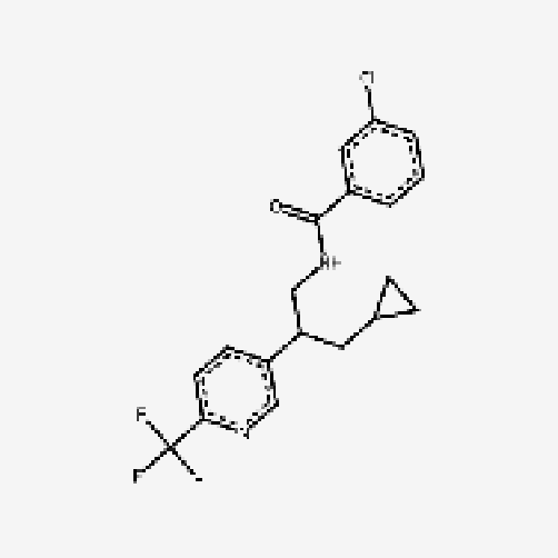 O=C(NCC(CC1CC1)c1ccc(C(F)(F)F)nc1)c1cccc(Cl)c1